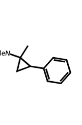 CNC1(C)CC1c1ccccc1